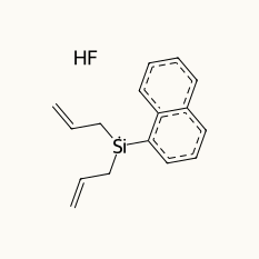 C=CC[Si](CC=C)c1cccc2ccccc12.F